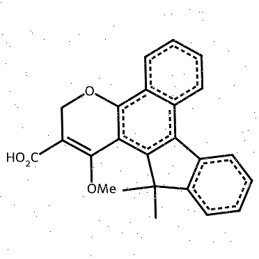 COC1=C(C(=O)O)COc2c1c1c(c3ccccc23)-c2ccccc2C1(C)C